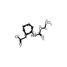 O=C(Cl)Cc1ccccc1NC(=O)OCC(Cl)(Cl)Cl